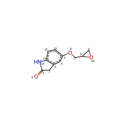 O=C1Cc2cc(OCC3CO3)ccc2N1